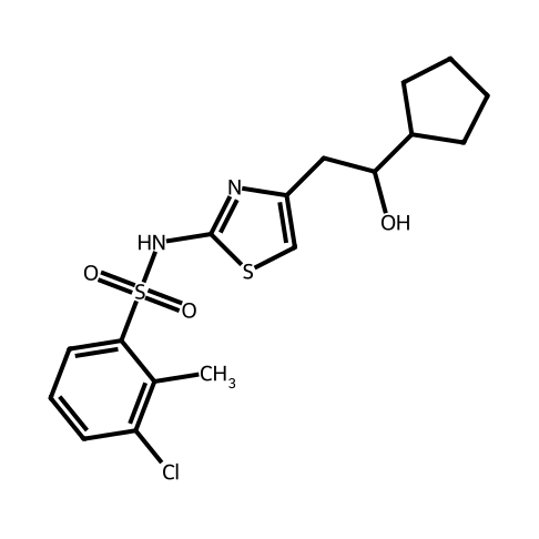 Cc1c(Cl)cccc1S(=O)(=O)Nc1nc(CC(O)C2CCCC2)cs1